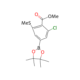 COC(=O)c1c(Cl)cc(B2OC(C)(C)C(C)(C)O2)cc1SC